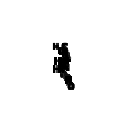 C=CC(=O)N1CCCC(Nc2nc(Nc3ccc4c(c3)CCN(C3COC3)C4)ncc2F)C1